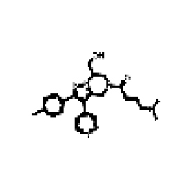 CN(C)CC=CC(=O)N1Cc2c(-c3ccncc3)c(-c3ccc(F)cc3)nn2C(CO)C1